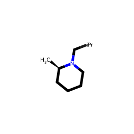 CC(C)CN1CCCC[C@H]1C